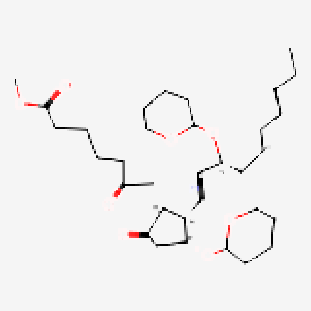 CCCCC[C@H](C)C[C@@H](/C=C/[C@H]1[C@H](OC2CCCCO2)CC(=O)[C@@H]1CC(=O)CCCCC(=O)OC)OC1CCCCO1